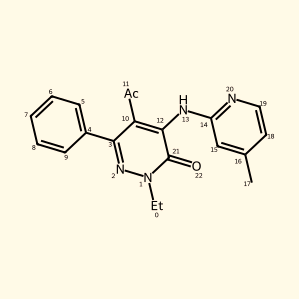 CCn1nc(-c2ccccc2)c(C(C)=O)c(Nc2cc(C)ccn2)c1=O